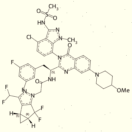 COC1CCN(c2ccc3c(=O)n(-c4ccc(Cl)c5c(NS(C)(=O)=O)nn(C)c45)c([C@H](Cc4cc(F)cc(F)c4)NC(=O)Cn4nc(C(F)F)c5c4C(F)(F)[C@@H]4C[C@H]54)nc3c2)CC1